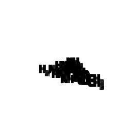 CC1(C)CCOc2c(C(=O)NC3CN4C(=N)N[C@@H](CCN)C5NC(=N)NC54C3(O)O)cccc21